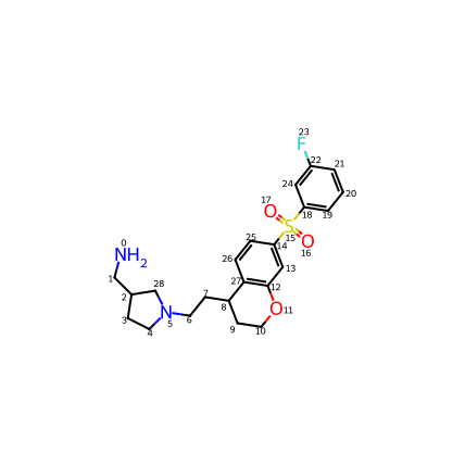 NCC1CCN(CCC2CCOc3cc(S(=O)(=O)c4cccc(F)c4)ccc32)C1